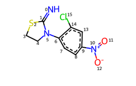 N=C1SCCN1c1ccc([N+](=O)[O-])cc1Cl